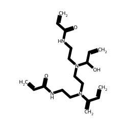 C=CC(=C)N(CCNC(=O)C=C)CCN(CCNC(=O)C=C)C(O)C=C